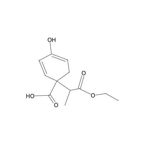 CCOC(=O)C(C)C1(C(=O)O)C=CC(O)=CC1